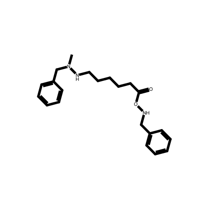 CN(Cc1ccccc1)NCCCCCC(=O)ONCc1ccccc1